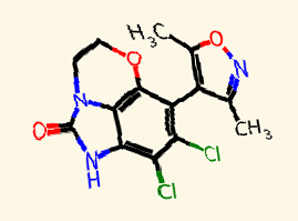 Cc1noc(C)c1-c1c(Cl)c(Cl)c2[nH]c(=O)n3c2c1OCC3